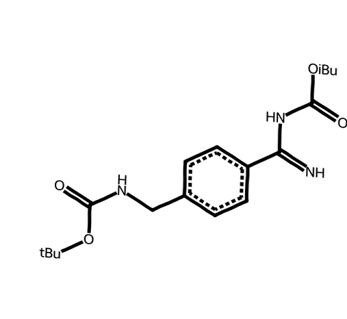 CC(C)COC(=O)NC(=N)c1ccc(CNC(=O)OC(C)(C)C)cc1